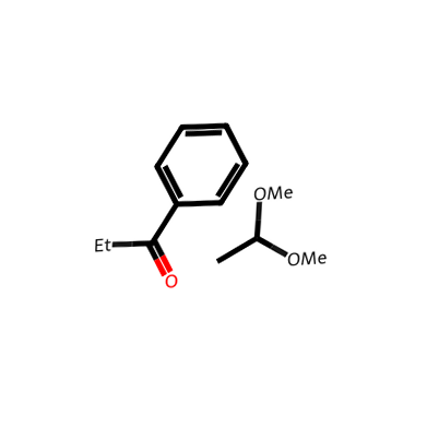 CCC(=O)c1ccccc1.COC(C)OC